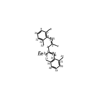 CC(CC(C)=Nc1c(C)cccc1C)=Nc1c(C)cccc1C.[Fe+3]